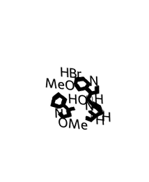 Br.C=C[C@H]1CN2CC[C@H]1C[C@H]2[C@H](O)c1ccnc2ccc(OC)cc12.COc1cc(C)c2ccccc2n1